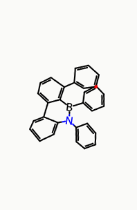 c1ccc(B2c3c(-c4ccccc4)cccc3-c3ccccc3N2c2ccccc2)cc1